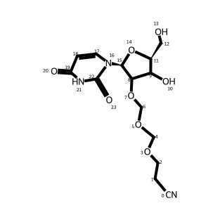 N#CCCOCOCOC1C(O)[C@H](CO)O[C@@H]1n1ccc(=O)[nH]c1=O